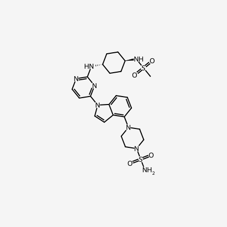 CS(=O)(=O)N[C@H]1CC[C@H](Nc2nccc(-n3ccc4c(N5CCN(S(N)(=O)=O)CC5)cccc43)n2)CC1